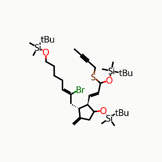 C=C1CC(O[Si](C)(C)C(C)(C)C)[C@H](/C=C/C(O[Si](C)(C)C(C)(C)C)SCC#CC)[C@H]1C/C(Br)=C/CCCCO[Si](C)(C)C(C)(C)C